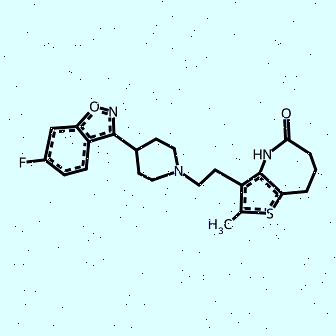 Cc1sc2c(c1CCN1CCC(c3noc4cc(F)ccc34)CC1)NC(=O)CCC2